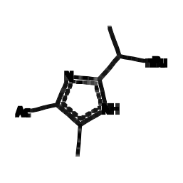 CCCCC(C)c1nc(C(C)=O)c(C)[nH]1